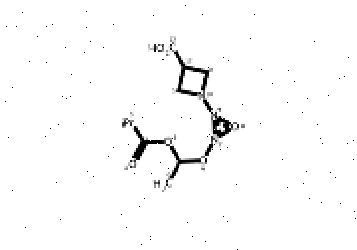 CC(OC(=O)C(C)C)On1on1N1CC(C(=O)O)C1